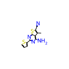 Cc1c(C#N)sc2nc(-c3cccs3)nc(N)c12